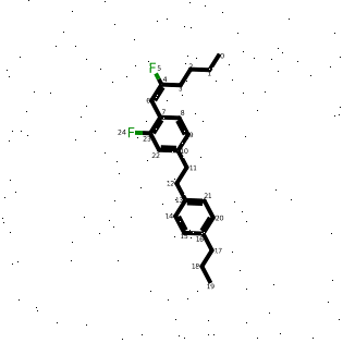 CCCC/C(F)=C\c1ccc(CCc2ccc(CCC)cc2)cc1F